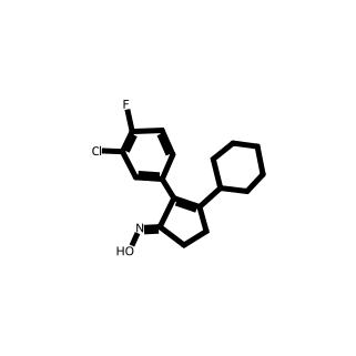 O/N=C1\CCC(C2CCCCC2)=C1c1ccc(F)c(Cl)c1